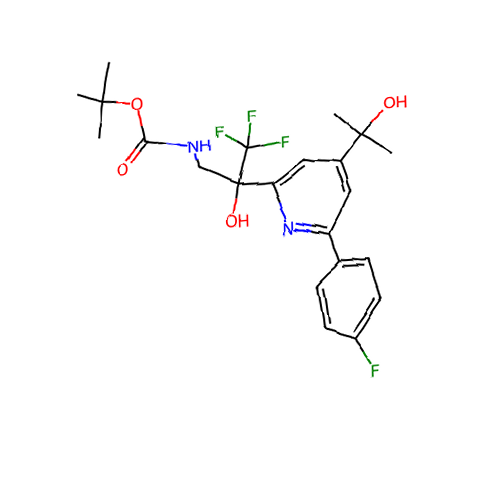 CC(C)(C)OC(=O)NCC(O)(c1cc(C(C)(C)O)cc(-c2ccc(F)cc2)n1)C(F)(F)F